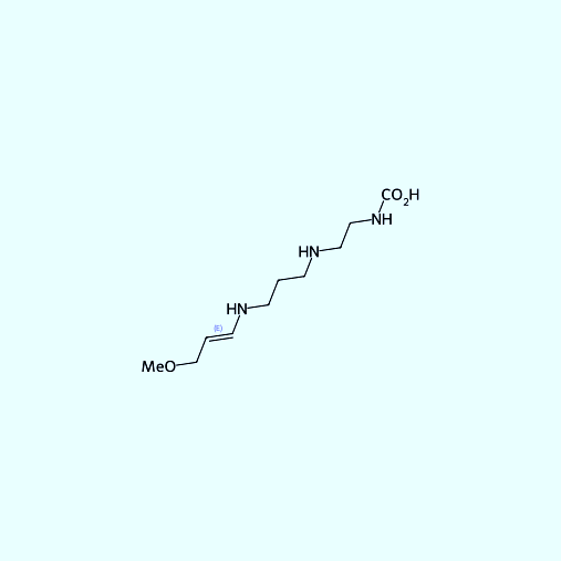 COC/C=C/NCCCNCCNC(=O)O